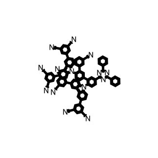 N#Cc1cc(C#N)cc(-c2ccc3c(c2)c2cc(-c4cc(C#N)cc(C#N)c4)ccc2n3-c2ccc(-c3nc(-c4ccccc4)nc(-c4ccccc4)n3)cc2-c2ccc(-n3c4ccc(-c5cc(C#N)cc(C#N)c5)cc4c4cc(-c5cc(C#N)cc(C#N)c5)ccc43)c(-c3cccc(C#N)c3)c2)c1